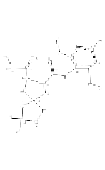 CCc1cc(C)cc(CC)c1CC(=O)C1CC2(COC(C)(C)O2)CC1C(=O)OC